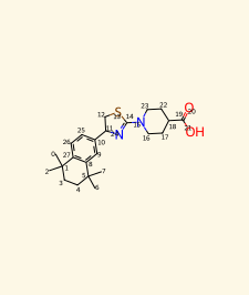 CC1(C)CCC(C)(C)c2cc(C3CSC(N4CCC(C(=O)O)CC4)=N3)ccc21